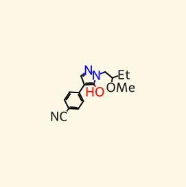 [CH2]CC(Cn1ncc(-c2ccc(C#N)cc2)c1O)OC